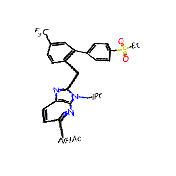 CCS(=O)(=O)c1ccc(-c2cc(C(F)(F)F)ccc2Cc2nc3ccc(NC(C)=O)nc3n2C(C)C)cc1